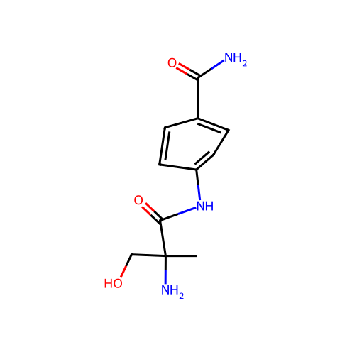 CC(N)(CO)C(=O)Nc1ccc(C(N)=O)cc1